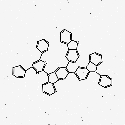 c1ccc(-c2cc(-c3ccccc3)nc(-n3c4ccccc4c4cc(-c5ccc6c(c5)c5ccccc5n6-c5ccccc5)c(-c5ccc6oc7ccccc7c6c5)cc43)n2)cc1